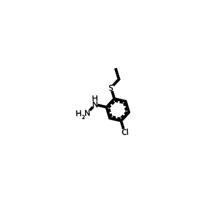 CCSc1ccc(Cl)cc1NN